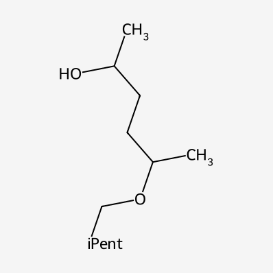 CCCC(C)COC(C)CCC(C)O